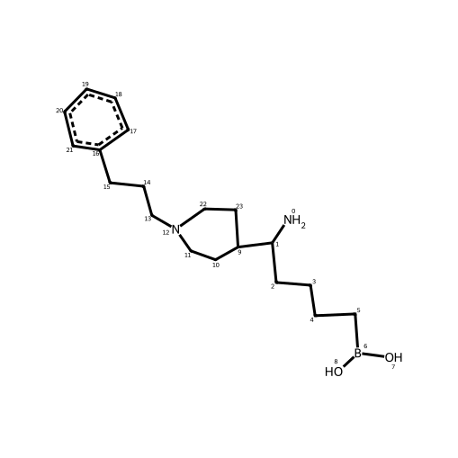 NC(CCCCB(O)O)C1CCN(CCCc2ccccc2)CC1